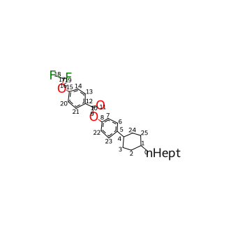 CCCCCCCC1CCC(c2ccc(OC(=O)c3ccc(OC(F)F)cc3)cc2)CC1